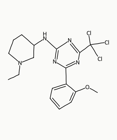 CCN1CCCC(Nc2nc(-c3ccccc3OC)nc(C(Cl)(Cl)Cl)n2)C1